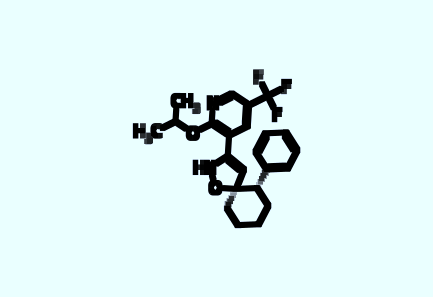 CC(C)Oc1ncc(C(F)(F)F)cc1C1=C[C@]2(CCCC[C@H]2c2ccccc2)ON1